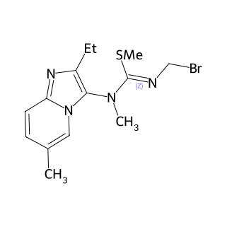 CCc1nc2ccc(C)cn2c1N(C)/C(=N/CBr)SC